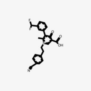 Cc1c(-c2cccc(C(F)F)c2)c(=O)c(C(=O)O)cn1CCc1ccc(C#N)cc1